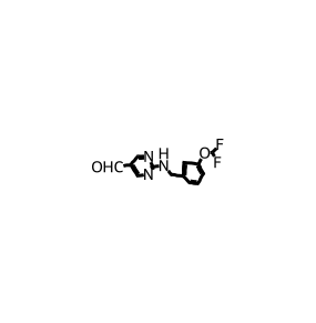 O=Cc1cnc(NCc2cccc(OC(F)F)c2)nc1